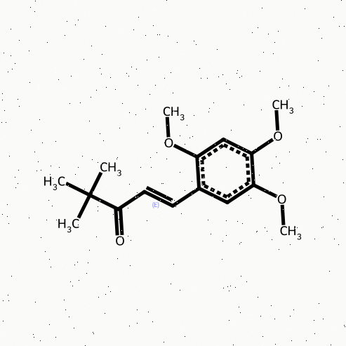 COc1cc(OC)c(OC)cc1/C=C/C(=O)C(C)(C)C